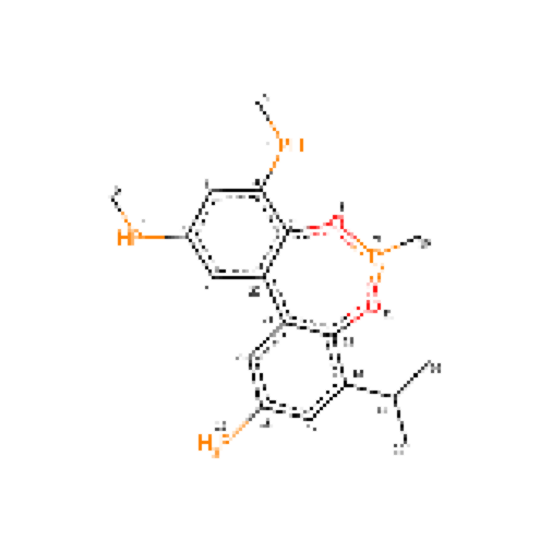 CPc1cc(PC)c2op(C)oc3c(C(C)C)cc(P)cc3c2c1